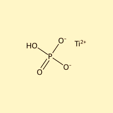 O=P([O-])([O-])O.[Ti+2]